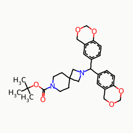 CC(C)(C)OC(=O)N1CCC2(CC1)CN(C(c1ccc3c(c1)COCO3)c1ccc3c(c1)COCO3)C2